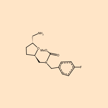 COC(=O)N(Cc1ccc(F)cc1)C[C@H]1CC[C@H](CN)O1